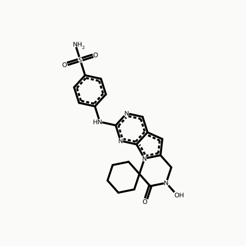 NS(=O)(=O)c1ccc(Nc2ncc3cc4n(c3n2)C2(CCCCC2)C(=O)N(O)C4)cc1